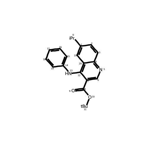 CC(C)c1ccc2ncc(C(=O)OC(C)(C)C)c(Nc3ccccc3)c2c1